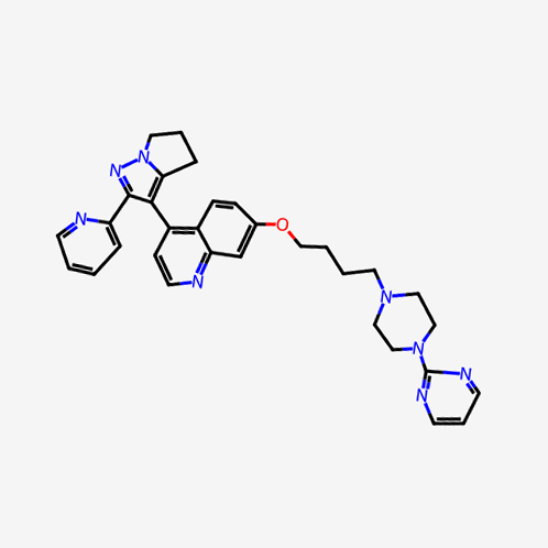 c1ccc(-c2nn3c(c2-c2ccnc4cc(OCCCCN5CCN(c6ncccn6)CC5)ccc24)CCC3)nc1